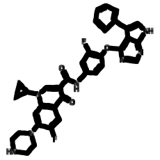 O=C(Nc1ccc(Oc2ncnc3[nH]cc(-c4ccccc4)c23)c(F)c1)c1cn(C2CC2)c2cc(N3CCNCC3)c(F)cc2c1=O